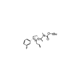 C=CCN1[C@@H]([C@H](C)N(C)C(=O)OC(C)(C)C)CC[C@H]1c1cccc(F)c1